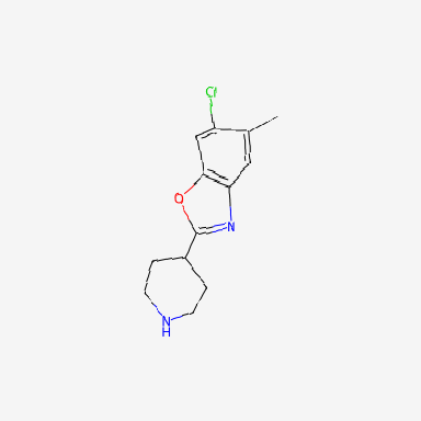 Cc1cc2nc(C3CCNCC3)oc2cc1Cl